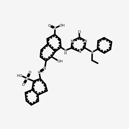 CCN(c1ccccc1)c1nc(Cl)nc(Nc2cc(S(=O)O)cc3ccc(/N=N/c4ccc5ccccc5c4S(=O)(=O)O)c(O)c23)n1